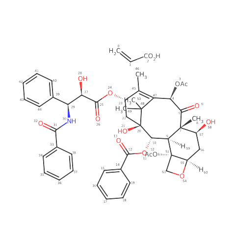 C=CC(=O)O.CC(=O)O[C@H]1C(=O)[C@@]2(C)[C@H]([C@H](OC(=O)c3ccccc3)[C@]3(O)C[C@H](OC(=O)[C@H](O)[C@@H](NC(=O)c4ccccc4)c4ccccc4)C(C)=C1C3(C)C)[C@]1(OC(C)=O)CO[C@@H]1C[C@@H]2O